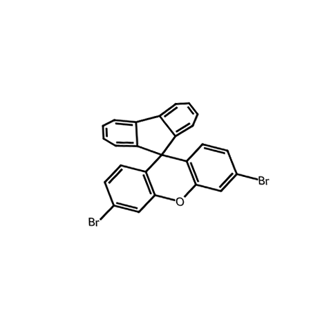 Brc1ccc2c(c1)Oc1cc(Br)ccc1C21c2ccccc2-c2ccccc21